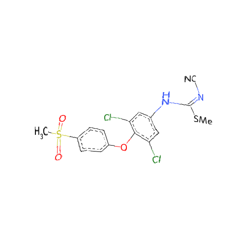 CS/C(=N/C#N)Nc1cc(Cl)c(Oc2ccc(S(C)(=O)=O)cc2)c(Cl)c1